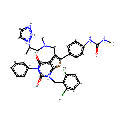 CCNC(=O)Nc1ccc(-c2sc3c(c2CN(C)CC(C)n2ccnn2)c(=O)n(-c2ccccc2)c(=O)n3Cc2c(F)cccc2F)cc1